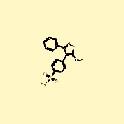 CC(=O)Oc1onc(-c2ccccc2)c1-c1ccc(S(N)(=O)=O)cc1